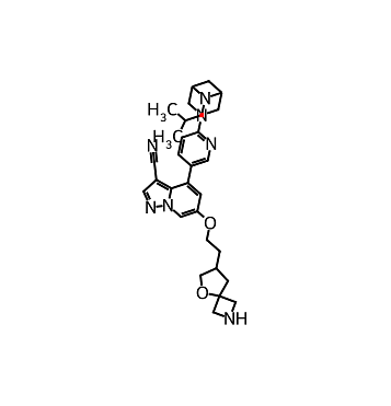 CC(C)CN1C2CC1CN(c1ccc(-c3cc(OCCC4COC5(CNC5)C4)cn4ncc(C#N)c34)cn1)C2